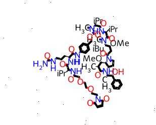 CC[C@H](C)[C@@H]([C@@H](CC(=O)N1CCC[C@H]1C(OC)[C@@H](C)C(=O)N[C@H](C)[C@@H](O)c1ccccc1)OC)N(C)C(=O)[C@@H](NC(=O)[C@H](C(C)C)N(C)C(=O)OCc1ccc(NC(=O)[C@H](CCCNC(N)=O)NC(=O)[C@@H](NC(=O)COCCOCCN2C(=O)C=CC2=O)C(C)C)cc1)C(C)C